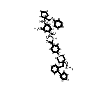 COC1(Cc2ccccc2-c2ccccc2)CCN(c2ccc(C(=O)NS(=O)(=O)c3ccc(NC4(CSc5ccccc5)CCCC4)c(C)c3)cc2)CC1